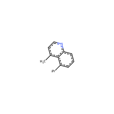 Cc1ccnc2cccc(C(C)C)c12